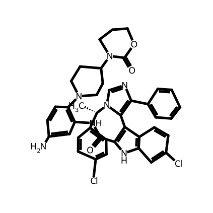 C[C@@H](c1ccc(Cl)cc1)n1cnc(-c2ccccc2)c1-c1c(C(=O)Nc2cc(N)ccc2N2CCC(N3CCCOC3=O)CC2)[nH]c2cc(Cl)ccc12